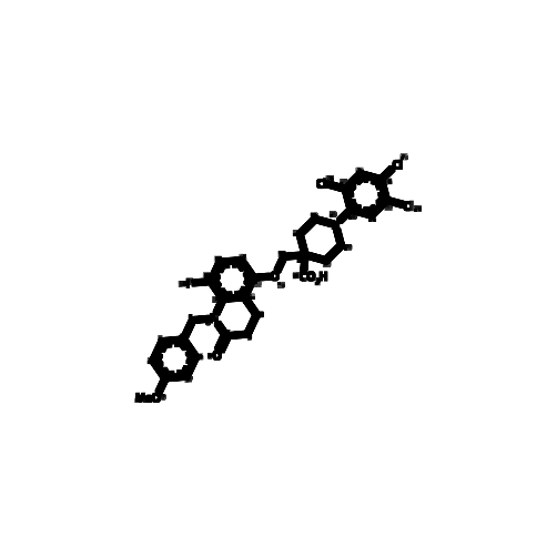 COc1ccc(CN2C(=O)CCc3c(OCC4(C(=O)O)CCN(c5cc(Cl)c(Cl)cc5Cl)CC4)ccc(F)c32)cc1